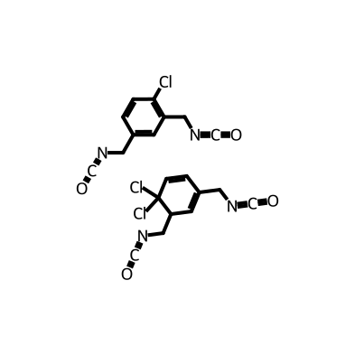 O=C=NCC1=CC(CN=C=O)C(Cl)(Cl)C=C1.O=C=NCc1ccc(Cl)c(CN=C=O)c1